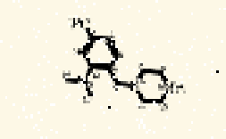 CC(C)c1ccc(CN2CCNCC2)c(N(C)C)c1